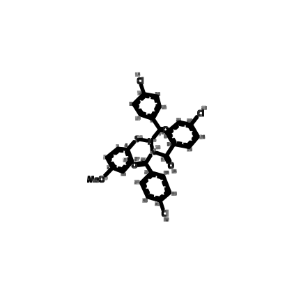 COc1ccc(SN(C(=O)c2ccc(Cl)cc2)N(C(=O)c2ccc(Cl)cc2)C(=O)c2ccc(Cl)cc2)cc1